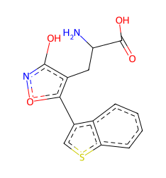 NC(Cc1c(O)noc1-c1csc2ccccc12)C(=O)O